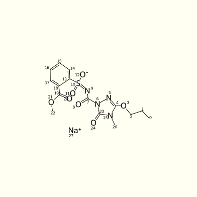 CCCOc1nn(C(=O)N=S(=O)([O-])c2ccccc2C(=O)OC)c(=O)n1C.[Na+]